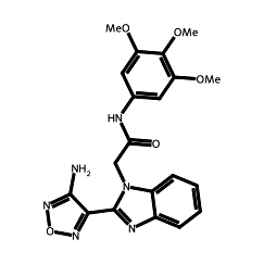 COc1cc(NC(=O)Cn2c(-c3nonc3N)nc3ccccc32)cc(OC)c1OC